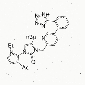 CCCCc1cn(-c2c(C(C)=O)ccn2CC)c(=O)n1Cc1ccc(-c2ccccc2-c2nnn[nH]2)cn1